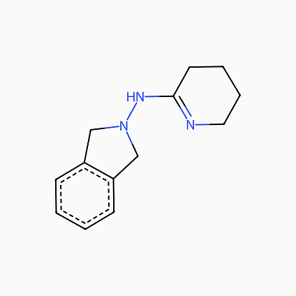 c1ccc2c(c1)CN(NC1=NCCCC1)C2